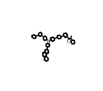 Cc1c(-c2cccc(-c3ccc(-c4ccc(N(c5ccc(-c6cccc(-c7ccccc7)c6)cc5)c5ccc(-c6ccc7c(ccc8ccccc87)c6)cc5)cc4)cc3)c2)oc2ccccc12